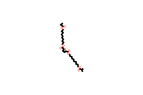 C=C(C)C(=O)OCCCCCCCCCCOC(=O)c1ccc(C(=O)OCCCCCCCCCCOC(=O)C(=C)C)s1